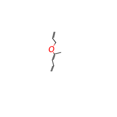 C=C/C=C(\C)OCC=C